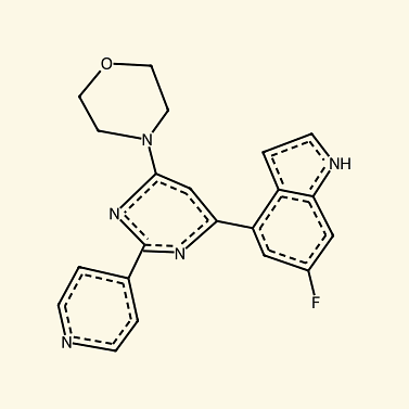 Fc1cc(-c2cc(N3CCOCC3)nc(-c3ccncc3)n2)c2cc[nH]c2c1